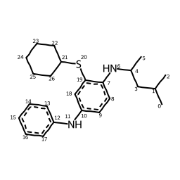 CC(C)CC(C)Nc1ccc(Nc2ccccc2)cc1SC1CCCCC1